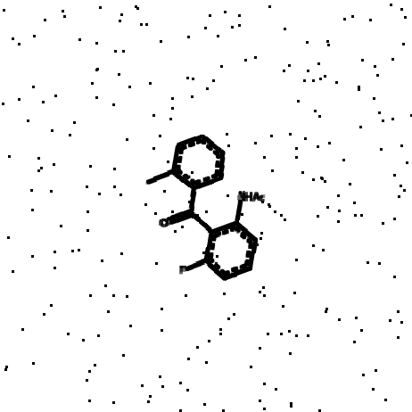 CC(=O)Nc1cccc(F)c1C(=O)c1ccccc1C